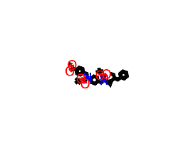 CC/C(=C\c1ccccc1)C1CC1N(CC1CCC(N(Cc2ccc(C(=O)OC)cc2)C(=O)OC(C)(C)C)CC1)C(=O)OC(C)(C)C